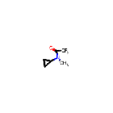 CN(C(=O)C(F)(F)F)C1CC1